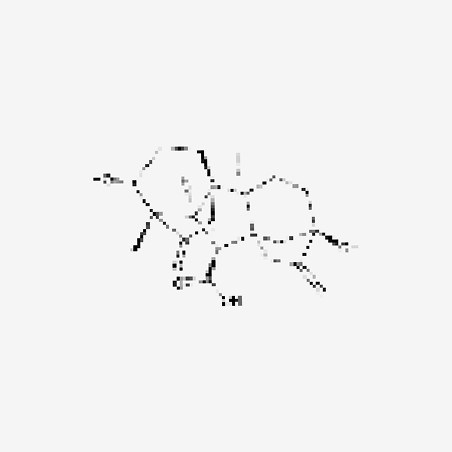 C=C1C[C@@]23C[C@]1(O)CC[C@@H]2[C@]12CC[C@@H](O)[C@@](C)(C(=O)S1)[C@@H]2[C@@H]3C(=O)O